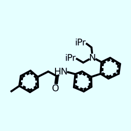 Cc1ccc(CC(=O)Nc2cccc(-c3ccccc3N(CC(C)C)CC(C)C)c2)cc1